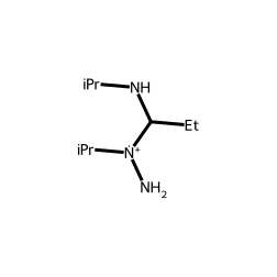 CCC(NC(C)C)[N+](N)C(C)C